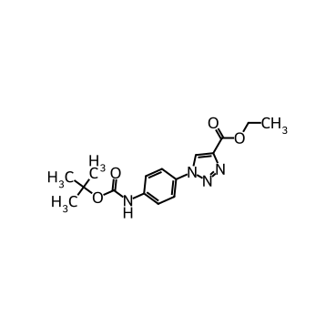 CCOC(=O)c1cn(-c2ccc(NC(=O)OC(C)(C)C)cc2)nn1